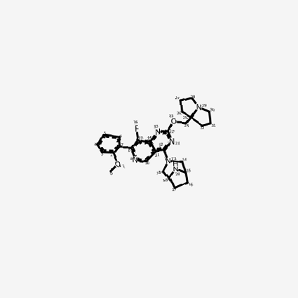 COc1ccccc1-c1ncc2c(N3CC4CCC(C3)N4)nc(OCC34CCCN3CCC4)nc2c1F